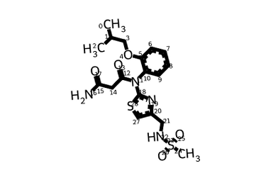 CC(C)COc1ccccc1N(C(=O)CC(N)=O)c1nc(CNS(C)(=O)=O)cs1